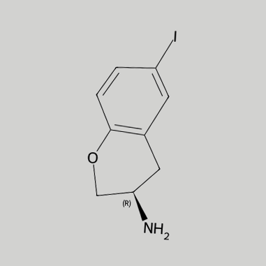 N[C@H]1COc2ccc(I)cc2C1